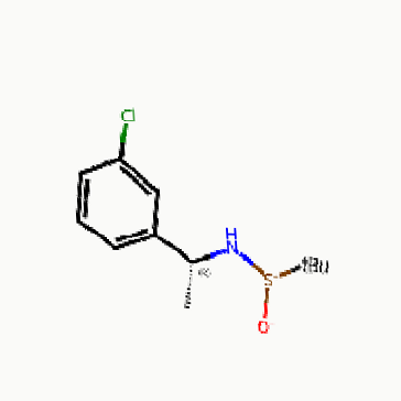 C[C@@H](N[S+]([O-])C(C)(C)C)c1cccc(Cl)c1